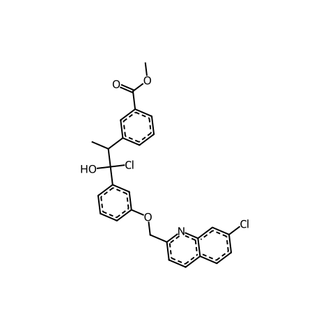 COC(=O)c1cccc(C(C)C(O)(Cl)c2cccc(OCc3ccc4ccc(Cl)cc4n3)c2)c1